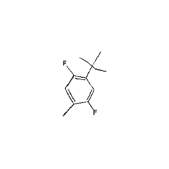 Cc1cc(F)c(C(C)(C)C)cc1F